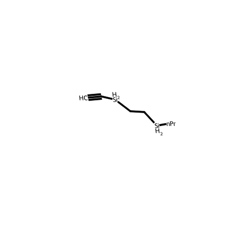 C#C[SiH2]CC[SiH2]CCC